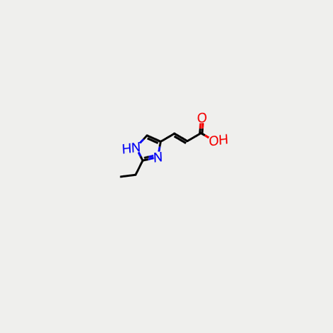 CCc1nc(C=CC(=O)O)c[nH]1